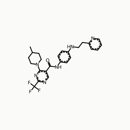 CC1CCN(c2nc(C(F)(F)F)ncc2C(=O)Nc2ccc(NCCc3ccccn3)cc2)CC1